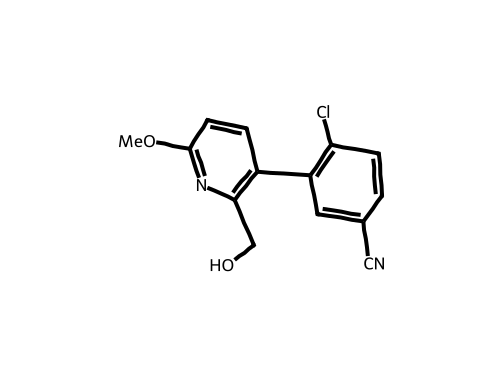 COc1ccc(-c2cc(C#N)ccc2Cl)c(CO)n1